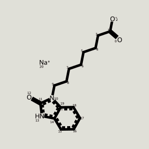 O=C([O-])CCCCCCCn1c(=O)[nH]c2ccccc21.[Na+]